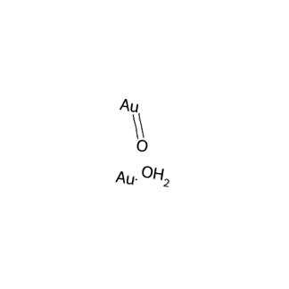 O.[Au].[O]=[Au]